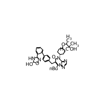 CCCCc1c(Cc2ccc(-c3ccccc3C3=NOC(O)N3)cc2)c(=O)n([C@H]2CC[C@H](OC(C)C(C)(C)O)CC2)c2ncnn12